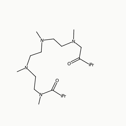 CC(C)C(=O)CN(C)CCN(C)CCN(C)CCN(C)C(=O)C(C)C